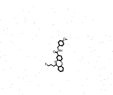 COc1ccc(CNC(=O)c2ccc3c(c2)N=C(CCCF)c2ccccc2S3)cc1